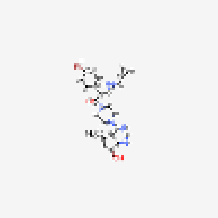 CC1CC(O)c2ncnc(N3CCN(C(=O)[C@H](CNCC4CC4)c4ccc(Br)cc4)CC3)c21